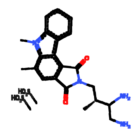 CS(=O)(=O)O.CS(=O)(=O)O.Cc1cc2c(c3c4ccccc4n(C)c13)C(=O)N(C[C@@H](C)C(N)CN)C2=O